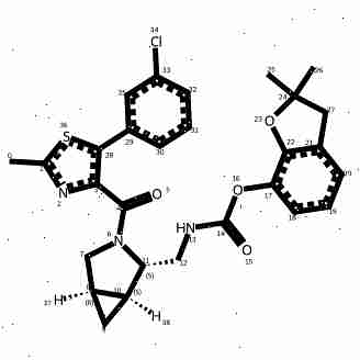 Cc1nc(C(=O)N2C[C@@H]3C[C@@H]3[C@H]2CNC(=O)Oc2cccc3c2OC(C)(C)C3)c(-c2cccc(Cl)c2)s1